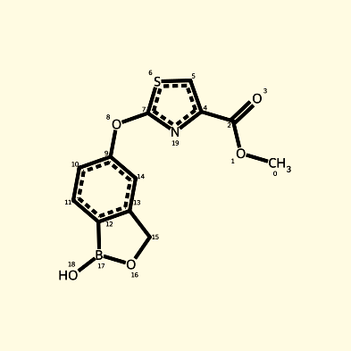 COC(=O)c1csc(Oc2ccc3c(c2)COB3O)n1